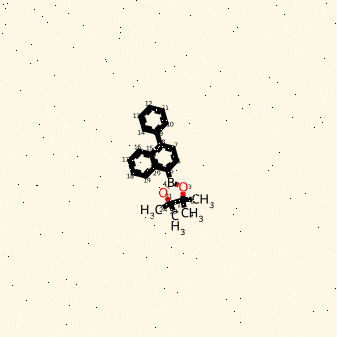 CC1(C)OB(c2ccc(-c3cc[c]cc3)c3ccccc23)OC1(C)C